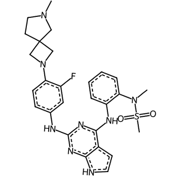 CN1CCC2(C1)CN(c1ccc(Nc3nc(Nc4ccccc4N(C)S(C)(=O)=O)c4cc[nH]c4n3)cc1F)C2